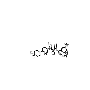 O=C(Nc1ccc(C2CCC(F)(F)CC2)nc1)Nc1c[nH]c2ncc(Br)cc12